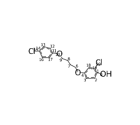 Oc1ccc(OCCCCOc2ccc(Cl)cc2)cc1Cl